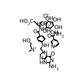 C[N+](C)(C)CCO.NC(=O)c1cccnc1.Nc1nc(=O)c2nc(CNc3ccc(C(=O)N[C@@H](CCC(=O)O)C(=O)O)cc3)cnc2[nH]1.O[C@H]1[C@H](O)[C@@H](O)[C@H](O)[C@@H](O)[C@H]1O.[Cl-]